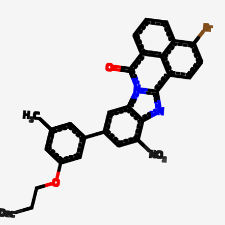 CCCCCCCCCCCCOc1cc(C)cc(-c2cc([N+](=O)[O-])c3nc4c5ccc(Br)c6cccc(c(=O)n4c3c2)c65)c1